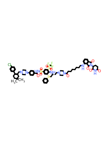 CC1(C)CCC(c2ccc(Cl)cc2)=C(CN2CCN(c3ccc(C(=O)NS(=O)(=O)c4ccc(N[C@H](CCN5CCN(C(=O)CCCCCCCNc6cccc7c6C(=O)N(C6CCC(=O)NC6=O)C7=O)CC5)CSc5ccccc5)c(S(=O)(=O)C(F)(F)F)c4)cc3)CC2)C1